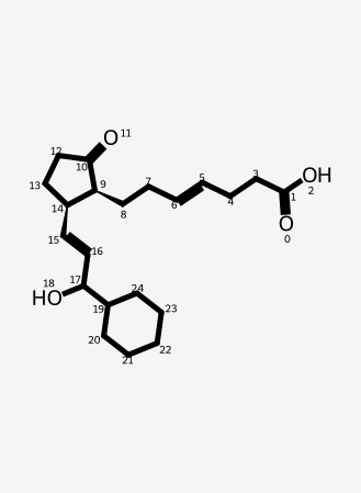 O=C(O)CCC=CCC[C@@H]1C(=O)CC[C@@H]1/C=C/C(O)C1CCCCC1